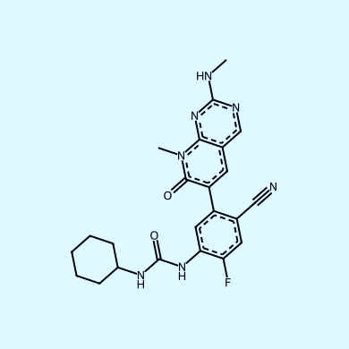 CNc1ncc2cc(-c3cc(NC(=O)NC4CCCCC4)c(F)cc3C#N)c(=O)n(C)c2n1